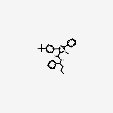 CCCC(NC(=O)c1c(-c2ccc(C(C)(C)C)cc2)nc(-c2ccccc2)n1C)c1ccccc1